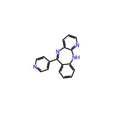 c1cnc2c(c1)N=C(c1ccncc1)c1ccccc1N2